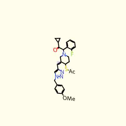 COc1ccc(Cn2cc(/C=C3/CN(C(C(=O)C4CC4)c4ccccc4F)CCC3SC(C)=O)nn2)cc1